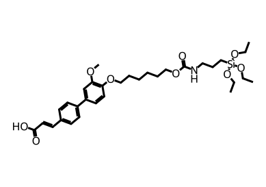 CCO[Si](CCCNC(=O)OCCCCCCOc1ccc(-c2ccc(C=CC(=O)O)cc2)cc1OC)(OCC)OCC